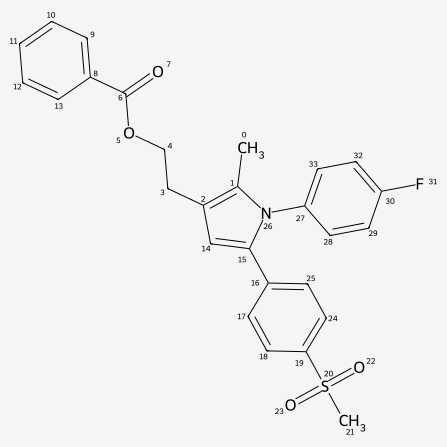 Cc1c(CCOC(=O)c2ccccc2)cc(-c2ccc(S(C)(=O)=O)cc2)n1-c1ccc(F)cc1